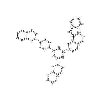 c1ccc2cc(-c3ccc(-c4nc(-c5ccc6ccccc6c5)nc(-c5ccc6ccc7c8ncccc8sc7c6c5)n4)cc3)ccc2c1